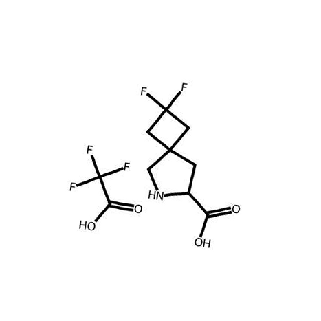 O=C(O)C(F)(F)F.O=C(O)C1CC2(CN1)CC(F)(F)C2